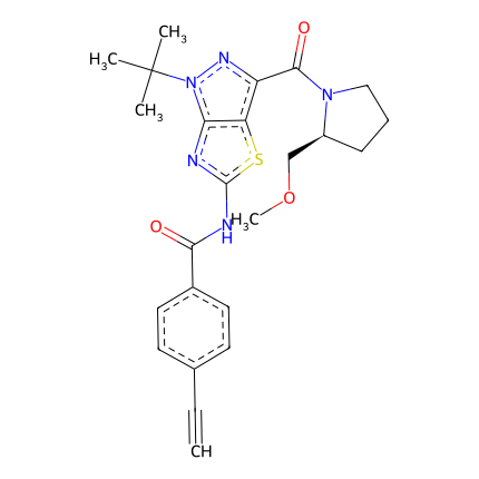 C#Cc1ccc(C(=O)Nc2nc3c(s2)c(C(=O)N2CCC[C@H]2COC)nn3C(C)(C)C)cc1